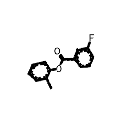 Cc1ccccc1OC(=O)c1cccc(F)c1